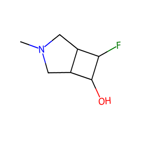 CN1CC2C(O)C(F)C2C1